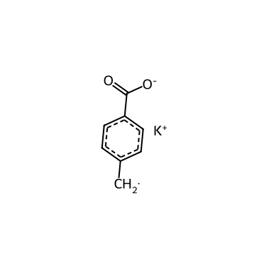 [CH2]c1ccc(C(=O)[O-])cc1.[K+]